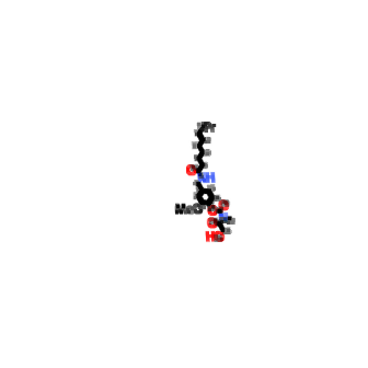 COc1cc(CNC(=O)CCCC/C=C/C(C)C)ccc1OC(=O)N(C)C(=O)CO